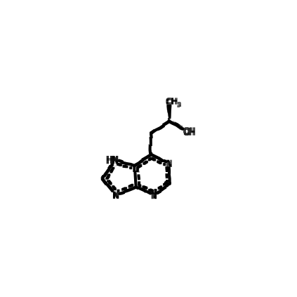 C[C@@H](O)Cc1ncnc2nc[nH]c12